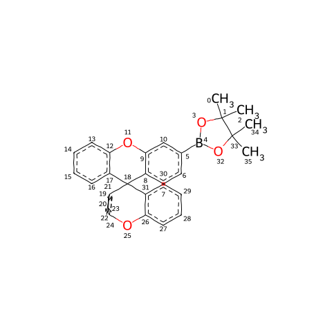 CC1(C)OB(c2ccc3c(c2)Oc2ccccc2C32c3ccccc3Oc3ccccc32)OC1(C)C